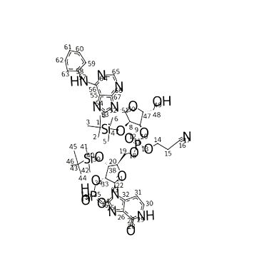 CC(C)(C)[Si](C)(C)O[C@@H]1[C@H](OP(=O)(OCCC#N)OC[C@H]2O[C@@H](n3cnc4c(=O)[nH]ccc43)[C@H](O[PH](=O)O)[C@@H]2O[Si](C)(C)C(C)(C)C)[C@@H](CO)O[C@H]1n1cnc2c(Nc3ccccc3)ncnc21